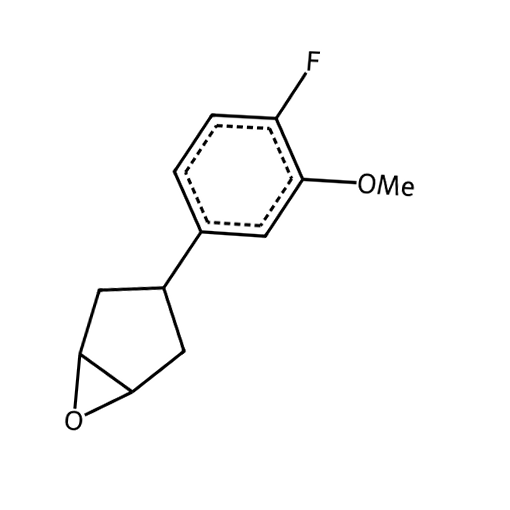 COc1cc(C2CC3OC3C2)ccc1F